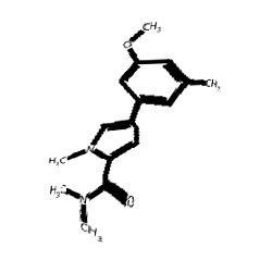 COc1cc(C)cc(-c2cc(C(=O)N(C)C)n(C)c2)c1